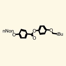 CCCCCCCCCOc1ccc(C(=O)Oc2ccc(OCC(C)CC)cc2)cc1